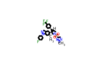 Cc1cc2c(cnn2-c2ccc(F)cc2)cc1[C@]12CN(S(=O)(=O)c3cnn(C)n3)C[C@H]1[C@H]2c1ccc(C(F)(F)F)cc1